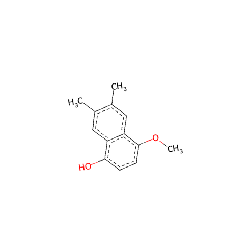 COc1ccc(O)c2cc(C)c(C)cc12